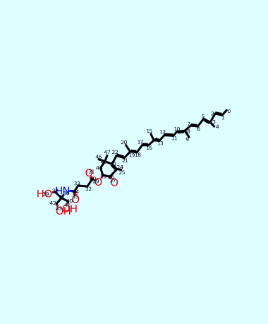 C/C=C/C(C)=C/C=C/C(C)=C/C=C/C=C(C)/C=C/C=C(C)/C=C/C1=C(C)C(=O)C(OC(=O)CCC(=O)NC(CO)(CO)CO)CC1(C)C